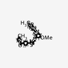 COc1cc(OCc2csc(-c3ccc(C(=O)N4CC[C@H](C)C4)cc3)n2)c2sc(-c3cn4nc(C)sc4n3)nc2c1